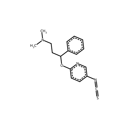 CN(C)CCC(Oc1ccc(N=C=S)cn1)c1ccccc1